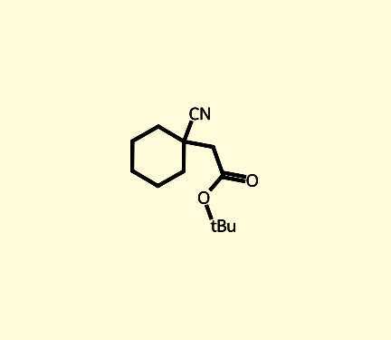 CC(C)(C)OC(=O)CC1(C#N)CCCCC1